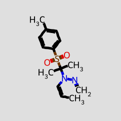 C=NN(/C=C\C)C(C)(C)S(=O)(=O)c1ccc(C)cc1